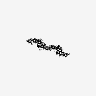 Cc1ccc(Oc2c(F)c(F)c(-c3c(F)c(F)c(Oc4ccc(C(c5ccc(Oc6c(F)c(F)c(-c7c(F)c(F)c(Oc8ccc(-c9ccc(C)cc9C)cc8)c(F)c7F)c(F)c6F)cc5)(C(F)(F)F)C(F)(F)F)cc4)c(F)c3F)c(F)c2F)cc1